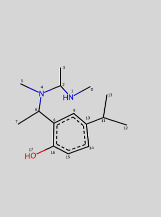 CNC(C)N(C)C(C)c1cc(C(C)C)ccc1O